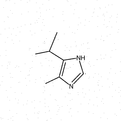 Cc1n[c][nH]c1C(C)C